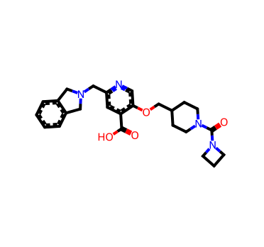 O=C(O)c1cc(CN2Cc3ccccc3C2)ncc1OCC1CCN(C(=O)N2CCC2)CC1